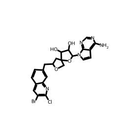 Nc1ncnc2c1ccn2C1OC2(COC(Cc3ccc4cc(Br)c(Cl)nc4c3)C2)C(O)C1O